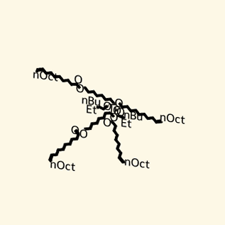 CCCCCCCC/C=C\CCCCCCCC(=O)OCCCCCCC[CH](OC(=O)CCCCCCC/C=C\CCCCCCCC)[Ti]([O]CC(CC)CCCC)([O]CC(CC)CCCC)[CH](CCCCCCCOC(=O)CCCCCCC/C=C\CCCCCCCC)OC(=O)CCCCCCC/C=C\CCCCCCCC